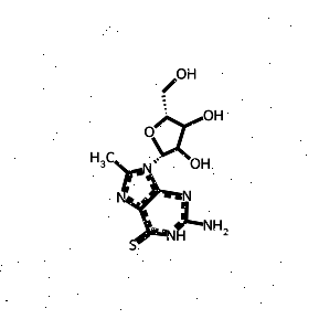 Cc1nc2c(=S)[nH]c(N)nc2n1[C@@H]1O[C@H](CO)C(O)C1O